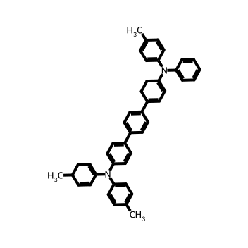 Cc1ccc(N(C2=CCC(C)C=C2)c2ccc(-c3ccc(C4=CC=C(N(c5ccccc5)c5ccc(C)cc5)CC4)cc3)cc2)cc1